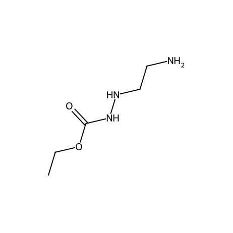 CCOC(=O)NNCCN